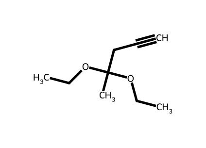 C#CCC(C)(OCC)OCC